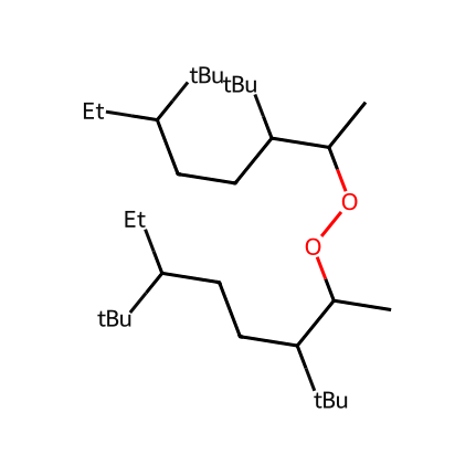 CCC(CCC(C(C)OOC(C)C(CCC(CC)C(C)(C)C)C(C)(C)C)C(C)(C)C)C(C)(C)C